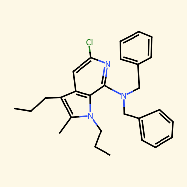 CCCc1c(C)n(CCC)c2c(N(Cc3ccccc3)Cc3ccccc3)nc(Cl)cc12